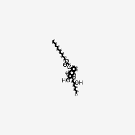 CCCCCCCCCCCCOC(=O)COc1cccc2c1C[C@H]1C[C@@H](O)[C@H](CC[C@@H](O)CCCCC)[C@H]1C2